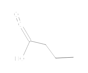 CCCC(O)=C=O